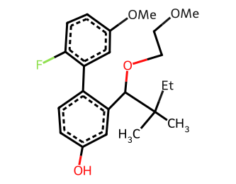 CCC(C)(C)C(OCCOC)c1cc(O)ccc1-c1cc(OC)ccc1F